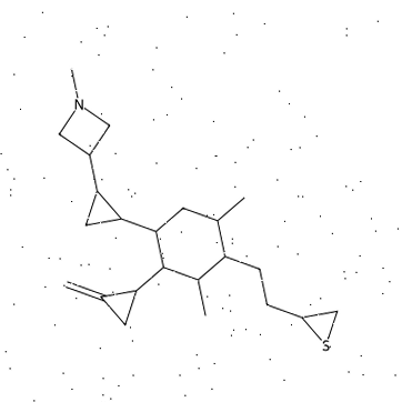 C=C1CC1C1C(C)C(CCC2CS2)C(C)CC1C1CC1C1CN(C)C1